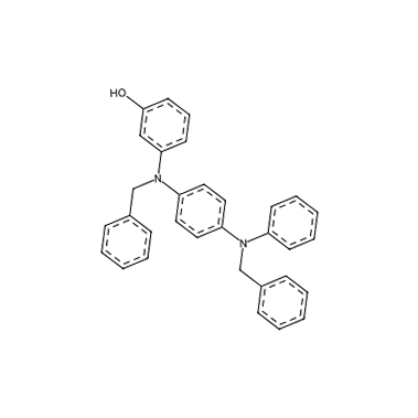 Oc1cccc(N(Cc2ccccc2)c2ccc(N(Cc3ccccc3)c3ccccc3)cc2)c1